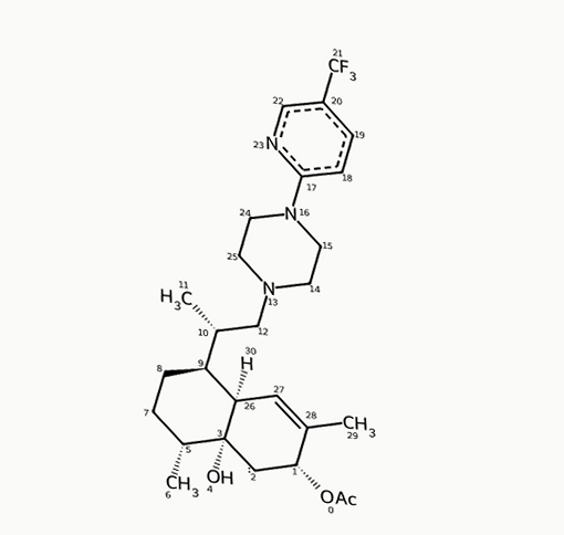 CC(=O)O[C@@H]1[C][C@@]2(O)[C@H](C)CC[C@@H]([C@H](C)CN3CCN(c4ccc(C(F)(F)F)cn4)CC3)[C@H]2C=C1C